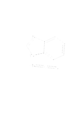 N=C=N.c1ccc2[nH]cnc2c1